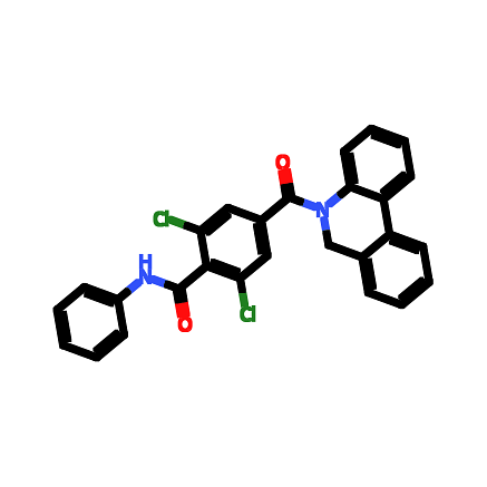 O=C(Nc1ccccc1)c1c(Cl)cc(C(=O)N2Cc3ccccc3-c3ccccc32)cc1Cl